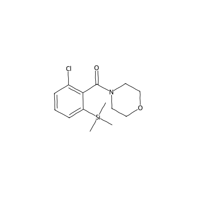 C[Si](C)(C)c1cccc(Cl)c1C(=O)N1CCOCC1